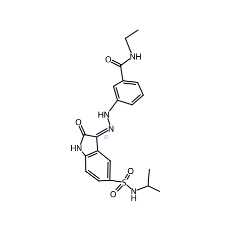 CCNC(=O)c1cccc(N/N=C2\C(=O)Nc3ccc(S(=O)(=O)NC(C)C)cc32)c1